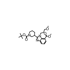 COCCCn1c(C2CCCN(C(=O)OC(C)(C)C)C2)nc2cccc(C(=O)OC)c21